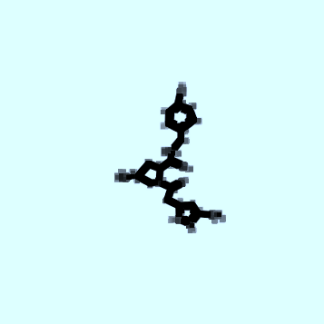 Cc1cc(CC(=S)N2C[C@H](O)CC2C(=O)NCc2ccc(Cl)cc2)on1